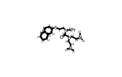 CC(C)N(CCSc1ccc2ccccc2c1)C(=O)N(CCN(C)C)CCN(C)C